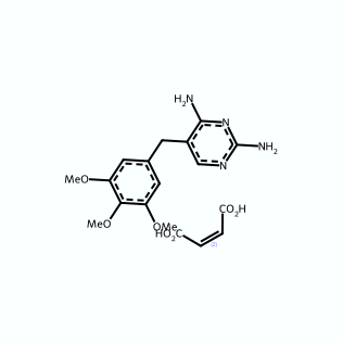 COc1cc(Cc2cnc(N)nc2N)cc(OC)c1OC.O=C(O)/C=C\C(=O)O